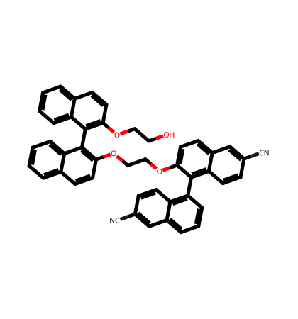 N#Cc1ccc2c(-c3c(OCCOc4ccc5ccccc5c4-c4c(OCCO)ccc5ccccc45)ccc4cc(C#N)ccc34)cccc2c1